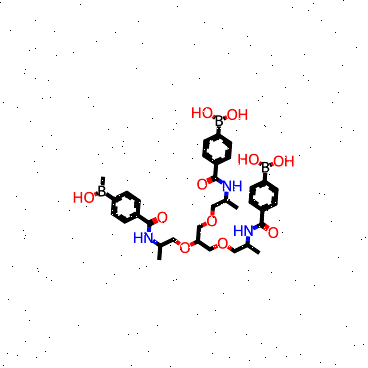 CB(O)c1ccc(C(=O)NC(C)COC(COCC(C)NC(=O)c2ccc(B(O)O)cc2)COCC(C)NC(=O)c2ccc(B(O)O)cc2)cc1